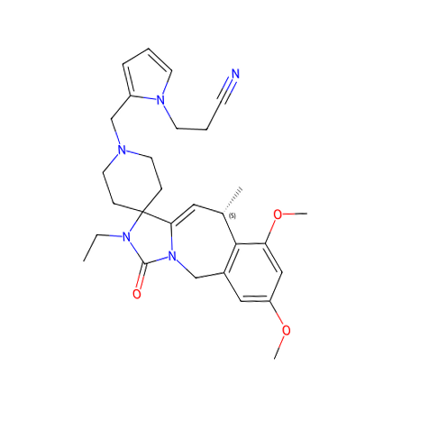 CCN1C(=O)N2Cc3cc(OC)cc(OC)c3[C@@H](C)C=C2C12CCN(Cc1cccn1CCC#N)CC2